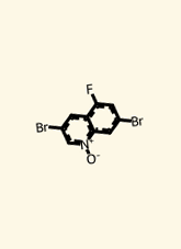 [O-][n+]1cc(Br)cc2c(F)cc(Br)cc21